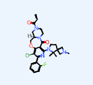 C=CC(=O)N1CCN2C(=O)c3c(N4CCC5(CN(C)C5)C4(C)C)nc(-c4ccccc4F)c(Cl)c3OC[C@H]2C1